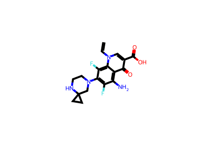 C=Cn1cc(C(=O)O)c(=O)c2c(N)c(F)c(N3CCNC4(CC4)C3)c(F)c21